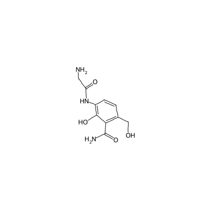 NCC(=O)Nc1ccc(CO)c(C(N)=O)c1O